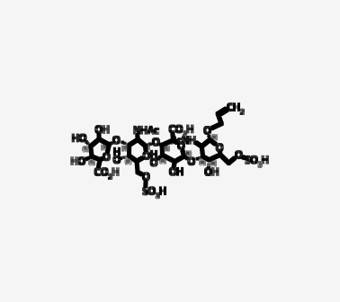 C=CCO[C@@H]1OC(COS(=O)(=O)O)[C@H](O)[C@H](O[C@@H]2OC(C(=O)O)[C@@H](O[C@@H]3OC(COS(=O)(=O)O)[C@H](O)[C@H](O[C@@H]4OC(C(=O)O)[C@@H](O)[C@H](O)C4O)C3NC(C)=O)[C@H](O)C2O)C1NC(C)=O